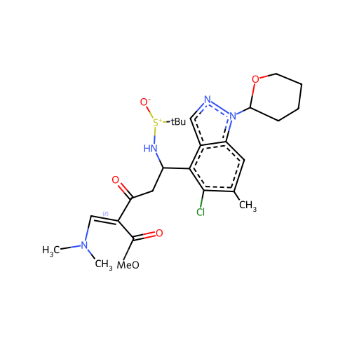 COC(=O)/C(=C\N(C)C)C(=O)CC(N[S+]([O-])C(C)(C)C)c1c(Cl)c(C)cc2c1cnn2C1CCCCO1